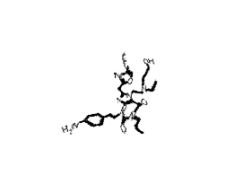 CCCn1c(=O)c2c(nc(Cc3nc(F)co3)n2CCN(CC)CCO)n(CCc2ccc(N)cc2)c1=O